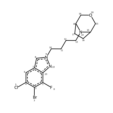 Fc1c(Br)c(Cl)cc2cn(CCCCN3C4CCC3COC4)nc12